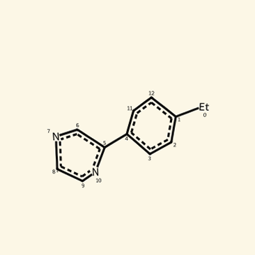 CCc1ccc(-c2cn[c]cn2)cc1